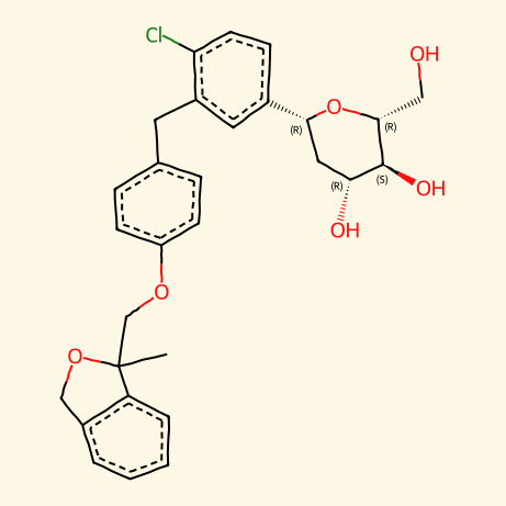 CC1(COc2ccc(Cc3cc([C@H]4C[C@@H](O)[C@H](O)[C@@H](CO)O4)ccc3Cl)cc2)OCc2ccccc21